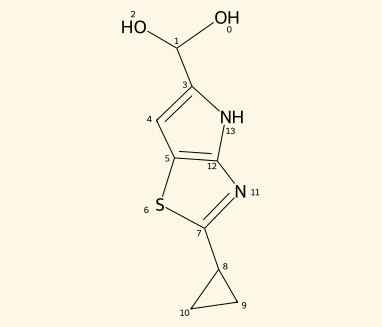 OC(O)c1cc2sc(C3CC3)nc2[nH]1